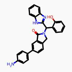 Nc1ccc(-c2ccc3c(c2)C(=O)N(C(c2nc4ccccc4[nH]2)c2ccccc2O)C3)cc1